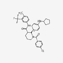 Cc1ccc(NC(=O)C2CCCN(C(=O)c3ccc(Cl)cc3)C2[C@@H]2C=CC(NC3CCCC3)=CC2)cc1C(F)(F)F